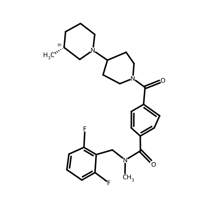 C[C@@H]1CCCN(C2CCN(C(=O)c3ccc(C(=O)N(C)Cc4c(F)cccc4F)cc3)CC2)C1